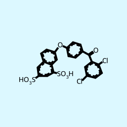 O=C(c1ccc(Oc2ccc3cc(S(=O)(=O)O)cc(S(=O)(=O)O)c3c2)cc1)c1cc(Cl)ccc1Cl